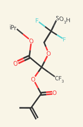 C=C(C)C(=O)OC(OCC(F)(F)S(=O)(=O)O)(C(=O)OC(C)C)C(F)(F)F